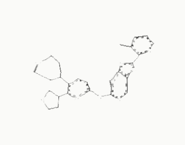 Cc1cccnc1-c1nc2cc(Nc3ccc(C4CCOCC4)c(C4CCNC4)n3)ncc2s1